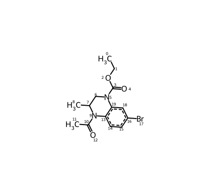 CCOC(=O)N1CC(C)N(C(C)=O)c2ccc(Br)cc21